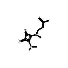 C=C(C)CCN(C)c1c(N(C)C)c(=O)c1=O